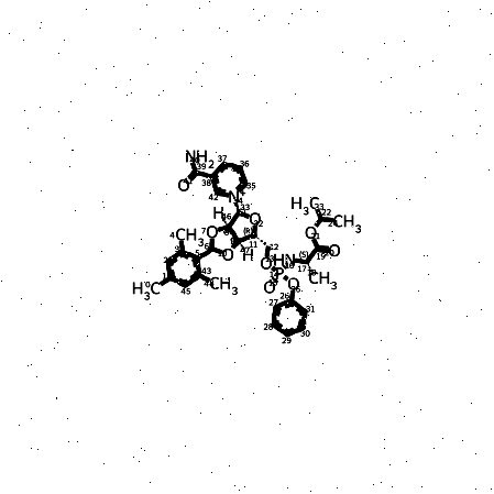 Cc1cc(C)c(C2O[C@@H]3[C@H](O2)[C@@H](COP(=O)(N[C@@H](C)C(=O)OC(C)C)Oc2ccccc2)O[C@@H]3[n+]2cccc(C(N)=O)c2)c(C)c1